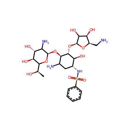 C[C@@H](O)C1O[C@H](O[C@@H]2C(N)C[C@@H](NS(=O)(=O)c3ccccc3)C(O)[C@H]2O[C@@H]2O[C@H](CN)[C@H](O)C2O)C(N)[C@@H](O)[C@@H]1O